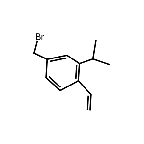 C=Cc1ccc(CBr)cc1C(C)C